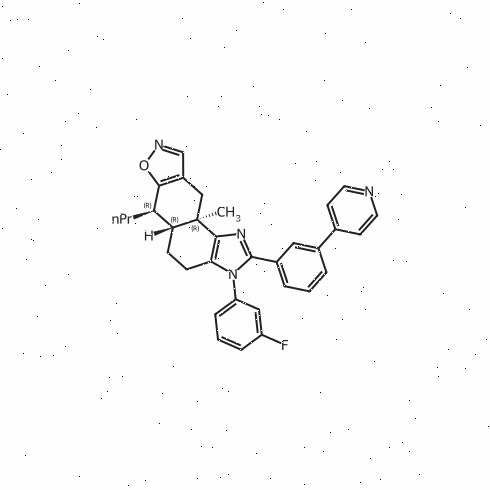 CCC[C@H]1c2oncc2C[C@@]2(C)c3nc(-c4cccc(-c5ccncc5)c4)n(-c4cccc(F)c4)c3CC[C@H]12